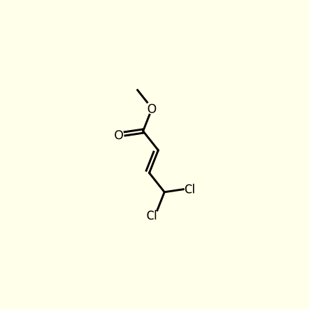 COC(=O)C=CC(Cl)Cl